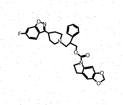 O=C(OCC(CN1CCC(c2noc3cc(F)ccc23)CC1)c1ccccc1)N1CCc2cc3c(cc21)OCO3